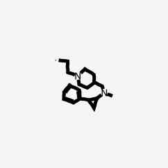 [CH2]CCN1CCC(CN(C)C2CC2c2ccccc2)CC1